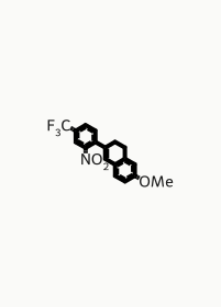 COc1ccc2c(c1)CCC(c1ccc(C(F)(F)F)cc1[N+](=O)[O-])=C2